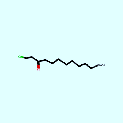 CCCCCCCCCCCCCCCCC(=O)CCCl